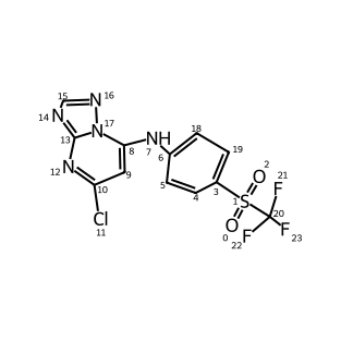 O=S(=O)(c1ccc(Nc2cc(Cl)nc3ncnn23)cc1)C(F)(F)F